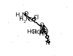 Cc1ncsc1-c1ccc([C@H](C)NC(=O)[C@@H]2C[C@@H](O)CN2C(=O)[C@@H](NC(=O)CCCCCc2cc(Cl)cc(OC[C@@H](N)CCC(N)=O)c2)C(C)(C)C)cc1.Cl